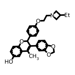 CCC1CN(CCOc2ccc(C3Oc4ccc(O)cc4C(C)=C3c3ccc4c(c3)OCO4)cc2)C1